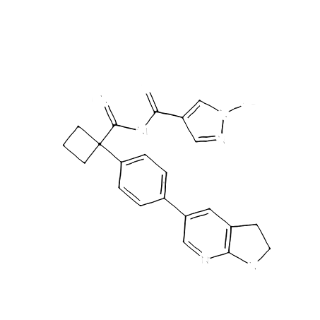 Cn1cc(C(=O)NC(=N)C2(c3ccc(-c4cnc5c(c4)CCN5)cc3)CCC2)cn1